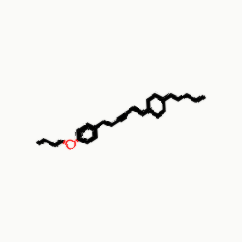 CCCCCC1CCC(C=CC#CC=Cc2ccc(OCCCC)cc2)CC1